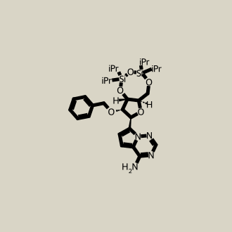 CC(C)[Si]1(C(C)C)OC[C@H]2O[C@@H](c3ccc4c(N)ncnn34)[C@H](OCc3ccccc3)[C@@H]2O[Si](C(C)C)(C(C)C)O1